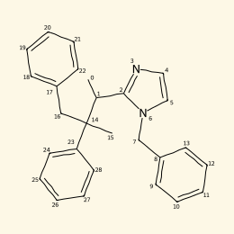 CC(c1nccn1Cc1ccccc1)C(C)(Cc1ccccc1)c1ccccc1